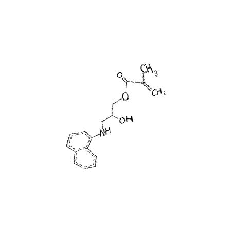 C=C(C)C(=O)OCC(O)CNc1cccc2ccccc12